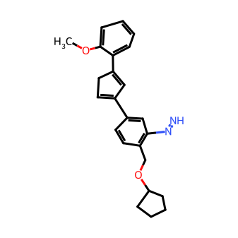 COc1ccccc1C1=CC(c2ccc(COC3CCCC3)c(N=N)c2)=CC1